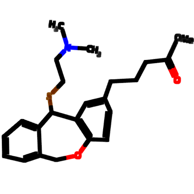 COC(=O)CCCc1ccc2c(c1)C(SCCN(C)C)c1ccccc1CO2